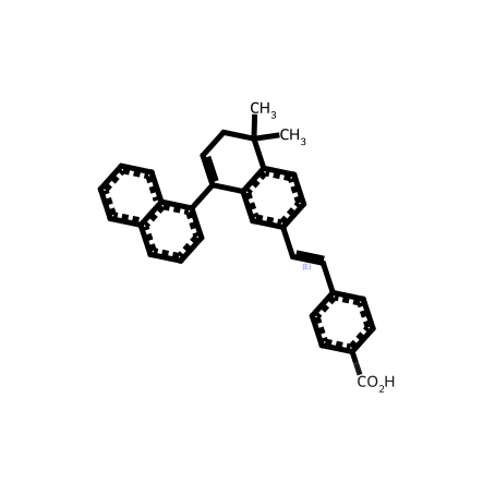 CC1(C)CC=C(c2cccc3ccccc23)c2cc(/C=C/c3ccc(C(=O)O)cc3)ccc21